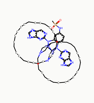 CS(=O)(=O)Nc1ccc(N(NC2CN3CCCCCCCCCCCCCCCCCCCCCC2CC3)c2ncc3nc[nH]c3n2)c(N(NC2CN3CCCCCCCCCCCCCCCCCCCCCC2CC3)c2ncc3nc[nH]c3n2)c1